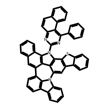 c1ccc(-c2nc(-n3c4c5ccccc5cc5c6cccc7c8ccccc8n(c8cc9c%10ccccc%10sc9c3c8c54)c67)nc3ccc4ccccc4c23)cc1